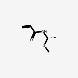 C=CC(=O)N[C@H](C)SC